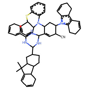 CC1(C)C2=CC=CCC2C2CCC(C3NC(C4=CC=CCC4)NC(C4=CC(C#N)C(n5c6c(c7c5CCC=C7)CCC=C6)CC4N4c5ccccc5SC5C=CC=CC54)N3)CC21